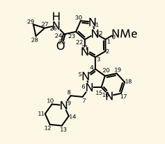 CNc1cc(-c2nn(CCN3CCCCC3)c3ncccc23)nc2c(C(=O)NC3CC3)cnn12